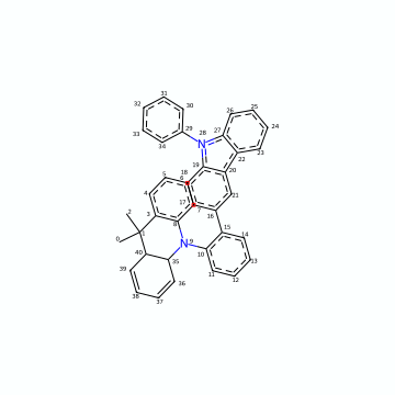 CC1(C)c2ccccc2N(c2ccccc2-c2ccc3c(c2)c2ccccc2n3-c2ccccc2)C2C=CC=CC21